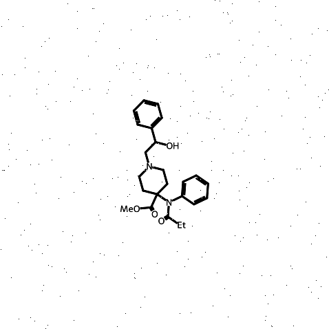 CCC(=O)N(c1ccccc1)C1(C(=O)OC)CCN(CC(O)c2ccccc2)CC1